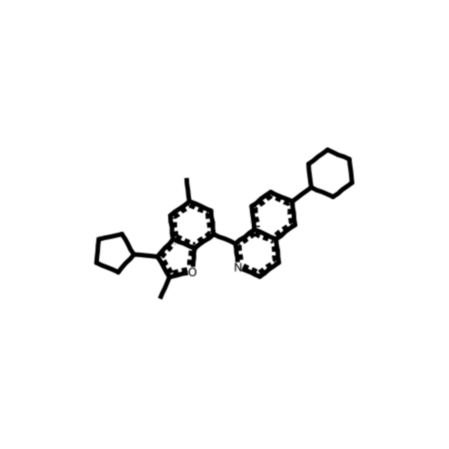 Cc1cc(-c2nccc3cc(C4CCCCC4)ccc23)c2oc(C)c(C3CCCC3)c2c1